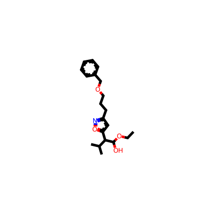 CCOC(O)C(c1cc(CCCOCc2ccccc2)no1)C(C)C